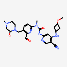 COC1CC(Nc2cc(NC(=O)N(C)c3ccc(CN4CCN(C)CC4O)c(C=O)n3)ncc2C#N)C1